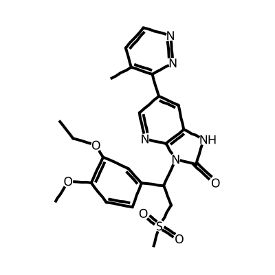 CCOc1cc(C(CS(C)(=O)=O)n2c(=O)[nH]c3cc(-c4nnccc4C)cnc32)ccc1OC